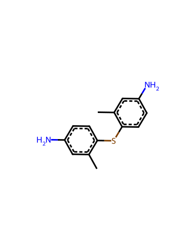 Cc1cc(N)ccc1Sc1ccc(N)cc1C